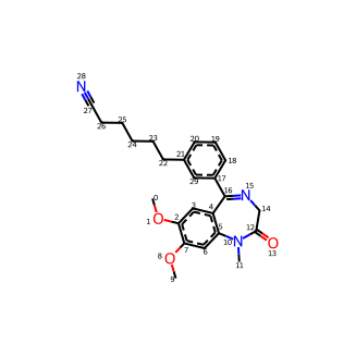 COc1cc2c(cc1OC)N(C)C(=O)CN=C2c1cccc(CCCCCC#N)c1